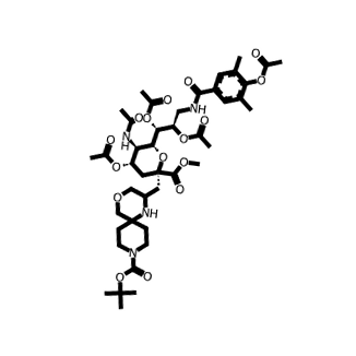 COC(=O)[C@@]1(CC2COCC3(CCN(C(=O)OC(C)(C)C)CC3)N2)C[C@H](OC(C)=O)[C@@H](NC(C)=O)[C@H]([C@H](OC(C)=O)[C@@H](CNC(=O)c2cc(C)c(OC(C)=O)c(C)c2)OC(C)=O)O1